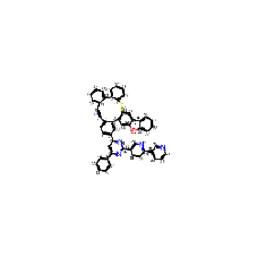 C1=C\c2ccc(-c3cc(-c4ccccc4)nc(-c4ccc(-c5cccnc5)nc4)n3)cc2-c2cc3oc4ccccc4c3cc2Sc2ccccc2-c2ccccc2/1